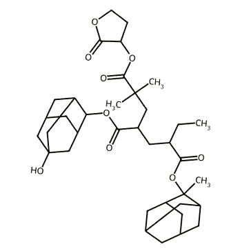 CCC(CC(CC(C)(C)C(=O)OC1CCOC1=O)C(=O)OC1C2CC3CC1CC(O)(C3)C2)C(=O)OC1(C)C2CC3CC(C2)CC1C3